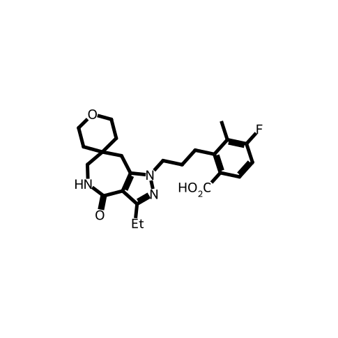 CCc1nn(CCCc2c(C(=O)O)ccc(F)c2C)c2c1C(=O)NCC1(CCOCC1)C2